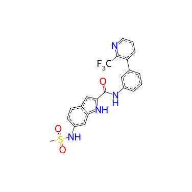 CS(=O)(=O)Nc1ccc2cc(C(=O)Nc3cccc(-c4cccnc4C(F)(F)F)c3)[nH]c2c1